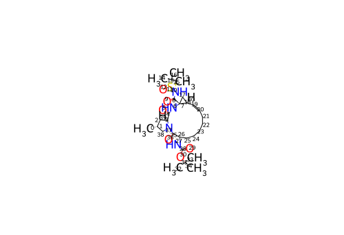 C[C@@H]1C[C@H]2C(=O)N[C@]3(C(=O)N[S@@+]([O-])C(C)(C)C)C[C@H]3/C=C\CCCCC[C@H](NC(=O)OC(C)(C)C)C(=O)N2C1